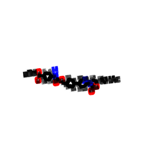 CCCCOC(=O)c1ccc(NC(=O)OCc2ccc(-c3ccc(N4C[C@H](CNC(C)=O)OC4=O)nc3)cc2)cc1